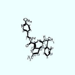 COc1ccc(CNC(=O)c2nc(NC(C)c3ccccn3)nc3cc(C)sc23)cn1